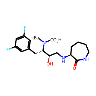 CC(C)(C)N(C(=O)O)[C@@H](Cc1cc(F)cc(F)c1)[C@H](O)CN[C@H]1CCCCNC1=O